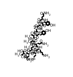 CC[C@H](C)[C@H](NC(=O)[C@H](CCSC)NC(=O)[C@H](CCCCN)NC(=O)[C@H](CCC(N)=O)NC(=O)[C@@H](NC(=O)[C@@H](NC(=O)[C@H](Cc1ccc(O)cc1)NC(=O)[C@H](CS)NC(=O)[C@H](C)NC(=O)[C@H](Cc1ccc(O)cc1)NC(=O)[C@@H](N)CCC(N)=O)C(C)C)C(C)C)C(=O)N[C@@H](CC(=O)O)C(=O)N[C@H](C(=O)O)C(C)C